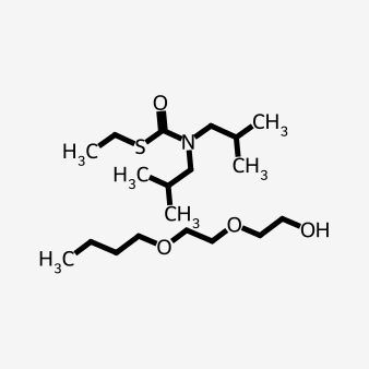 CCCCOCCOCCO.CCSC(=O)N(CC(C)C)CC(C)C